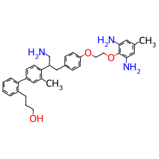 Cc1cc(N)c(OCCOc2ccc(CC(CN)c3ccc(-c4ccccc4CCCO)cc3C)cc2)c(N)c1